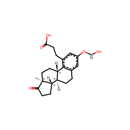 C[C@]12CC[C@@H]3c4c(CCC(=O)O)cc(OBO)cc4CC[C@H]3[C@@H]1CCC2=O